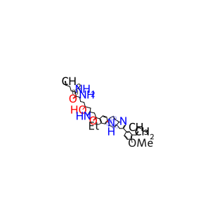 C=CCC[C@H](N)C(=O)C(=N)CCC(O)CC(=N)CC(=O)c1ccc(N/C2=C\C/C=C\C=C3\CC(c4ccc(OC)c(C=C)c4C)=CN=C32)cc1CC